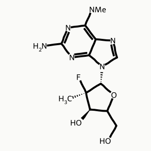 CNc1nc(N)nc2c1ncn2[C@@H]1OC(CO)[C@@H](O)[C@@]1(C)F